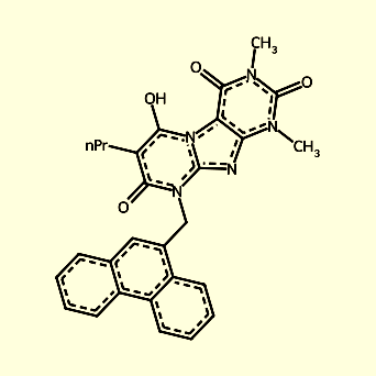 CCCc1c(O)n2c3c(=O)n(C)c(=O)n(C)c3nc2n(Cc2cc3ccccc3c3ccccc23)c1=O